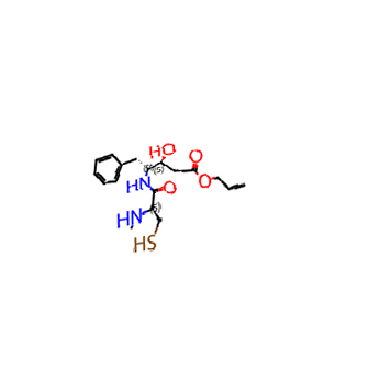 C=CCOC(=O)C[C@H](O)[C@@H](Cc1ccccc1)NC(=O)[C@@H](CS)NC